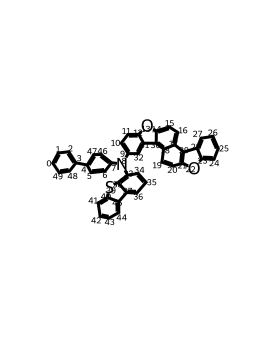 c1ccc(-c2ccc(N(c3ccc4oc5ccc6c(ccc7oc8ccccc8c76)c5c4c3)c3cccc4c3sc3ccccc34)cc2)cc1